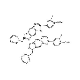 COc1ccc(-c2cnc3cc4cn(Cc5cccnc5)nc4cc3n2)cc1F.COc1ccc(-c2cnc3cc4cnn(Cc5cccnc5)c4cc3n2)cc1F